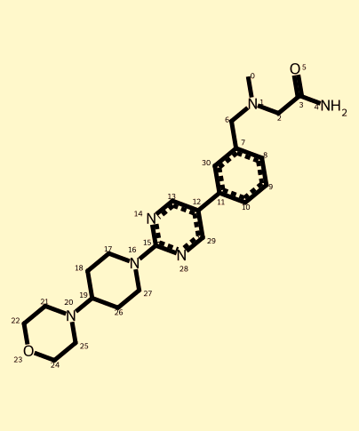 CN(CC(N)=O)Cc1cccc(-c2cnc(N3CCC(N4CCOCC4)CC3)nc2)c1